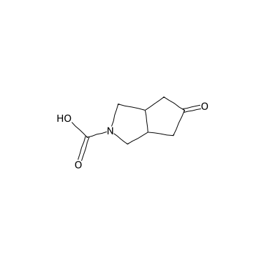 O=C1CC2CN(C(=O)O)CC2C1